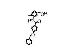 Cc1ccc(CO)cc1NC(=O)c1ccc(OCc2ccccc2)cc1